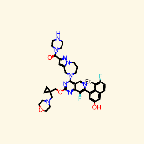 CCc1c(F)ccc2cc(O)cc(-c3ncc4c(N5CCCn6nc(C(=O)N7CCNCC7)cc6C5)nc(OCC5(CN6CCOCC6)CC5)nc4c3F)c12